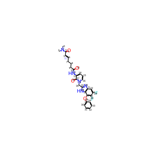 CN(C)C(=O)/C=C/CCCC(=O)Nc1cccn(Cc2nc3cc(F)c(F)c(Oc4ccccc4)c3[nH]2)c1=O